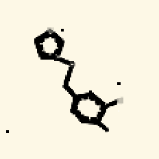 Cc1ccc(COn2ccnc2)cc1Cl